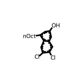 CCCCCCCCc1cc(O)cc2cc(Cl)c(Cl)cc12